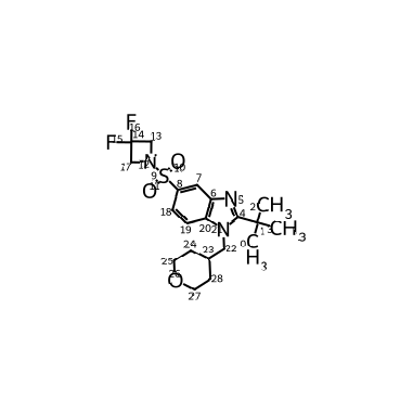 CC(C)(C)c1nc2cc(S(=O)(=O)N3CC(F)(F)C3)ccc2n1CC1CCOCC1